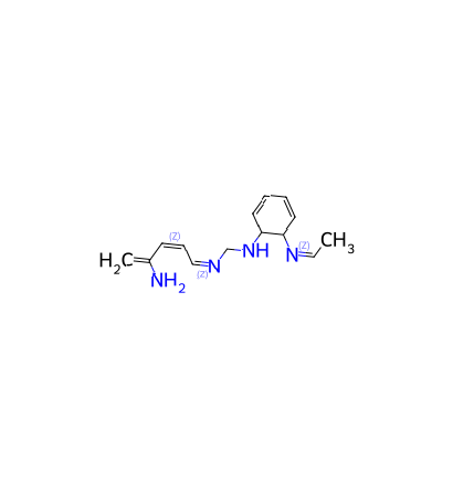 C=C(N)/C=C\C=N/CNC1C=CC=CC1/N=C\C